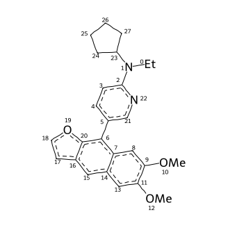 CCN(c1ccc(-c2c3cc(OC)c(OC)cc3cc3ccoc23)cn1)C1CCCC1